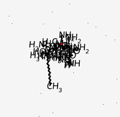 CCCCCCCCCCCCCCCCNC(=O)[C@@H](NC(=O)[C@H](CCCCN)NC(=O)[C@H](CC(C)C)NC(=O)[C@H](C)NC(=O)[C@H](CCCCN)NC(=O)[C@H](CCCNC(=N)N)NC(=O)[C@H](CCCCN)NC(=O)[C@H](CCC(N)=O)NC(=O)[C@H](Cc1cnc[nH]1)NC(C)=O)[C@@H](C)O